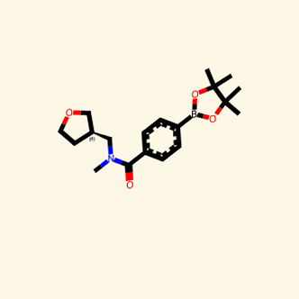 CN(C[C@H]1CCOC1)C(=O)c1ccc(B2OC(C)(C)C(C)(C)O2)cc1